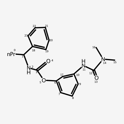 CCCC(NC(=O)Oc1cccc(NC(=O)N(C)C)c1)c1ccccc1